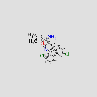 CC(C)Cc1oc2nc(-c3ccccc3Cl)c(-c3ccc(Cl)cc3)cc2c1N